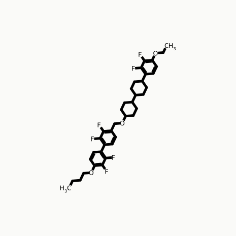 CCCCOc1ccc(-c2ccc(COC3CCC(C4CCC(c5ccc(OCC)c(F)c5F)CC4)CC3)c(F)c2F)c(F)c1F